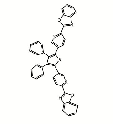 c1ccc(-c2c(-c3ccc(-c4nc5ccccc5o4)nc3)sc(-c3ccc(-c4nc5ccccc5o4)nc3)c2-c2ccccc2)cc1